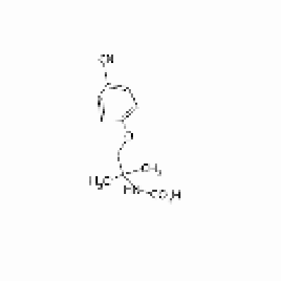 CC(C)(COc1ccc(C#N)cc1)NC(=O)O